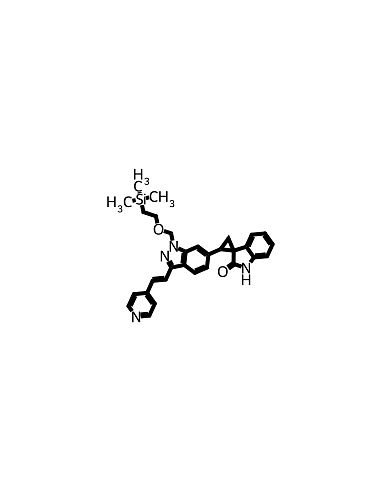 C[Si](C)(C)CCOCn1nc(/C=C/c2ccncc2)c2ccc(C3CC34C(=O)Nc3ccccc34)cc21